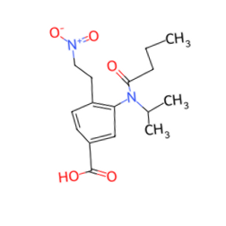 CCCC(=O)N(c1cc(C(=O)O)ccc1CC[N+](=O)[O-])C(C)C